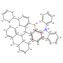 C1=CCC(C2C=CC3=C(C2)C(C2C4=CCCC=C4SC4C=CCC(C5CCC6C(C5)c5ccccc5N6c5ccccc5)C42)c2ccccc2S3)CC1